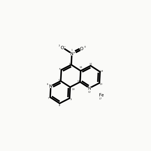 O=[N+]([O-])c1cc2ncccc2c2ncccc12.[Fe]